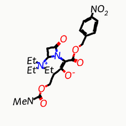 CC[N+](CC)(CC)C1CC(=O)N1C(C(=O)OCc1ccc([N+](=O)[O-])cc1)=C([O-])CCOC(=O)NC